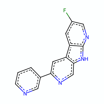 Fc1cnc2[nH]c3cnc(-c4cccnc4)cc3c2c1